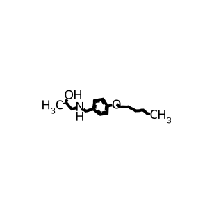 CCCCCCOc1ccc(CNC[C@H](C)O)cc1